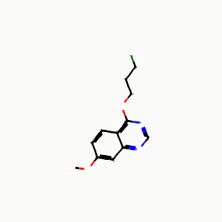 COc1ccc2c(OCCCCl)ncnc2c1.Cl